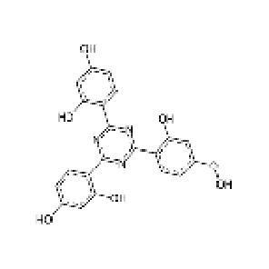 OOc1ccc(-c2nc(-c3ccc(O)cc3O)nc(-c3ccc(O)cc3O)n2)c(O)c1